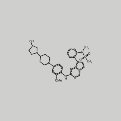 COc1cc(N2CCC(N3CCC(O)C3)CC2)ccc1Nc1ncc2ccc(-c3ccccc3N(C)S(C)(=O)=O)n2n1